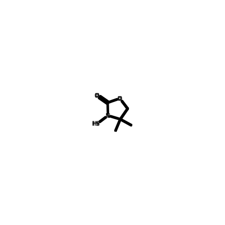 CC1(C)COC(=O)N1S